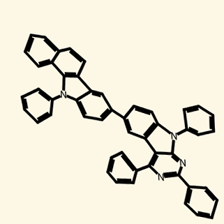 c1ccc(-c2nc(-c3ccccc3)c3c4cc(-c5ccc6c(c5)c5ccc7ccccc7c5n6-c5ccccc5)ccc4n(-c4ccccc4)c3n2)cc1